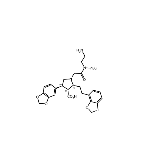 CCCCN(CCN)C(=O)CN1C[C@H](c2ccc3c(c2)OCO3)[C@@H](C(=O)O)[C@@H]1CCc1cccc2c1OCO2